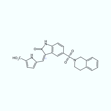 O=C1Nc2ccc(S(=O)(=O)N3CCc4ccccc4C3)cc2/C1=C/c1ccc(C(=O)O)[nH]1